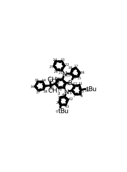 CC(C)(C)c1ccc(N2c3ccc(C(C)(C)C)cc3B3c4ccccc4N(c4ccccc4)c4cc(C(C)(C)c5ccccc5)cc2c43)cc1